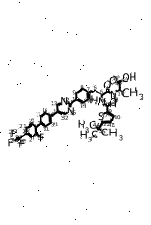 C[C@@H](NC(=O)[C@H](Cc1ccc(-c2ncc(-c3ccc(-c4ccc(C(F)(F)F)cc4F)cc3)cn2)cc1)NC(=O)c1ccc(C(C)(C)C)s1)C(=O)O